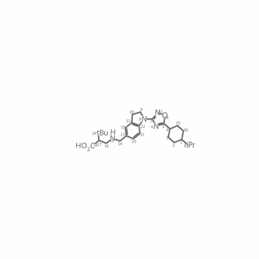 CC(C)C1CCC(c2nc(N3CCc4cc(CNCC(C(=O)O)C(C)(C)C)ccc43)no2)CC1